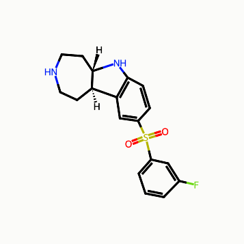 O=S(=O)(c1cccc(F)c1)c1ccc2c(c1)[C@H]1CCNCC[C@@H]1N2